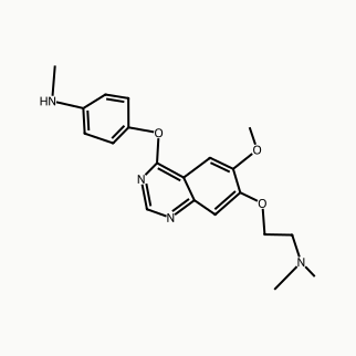 CNc1ccc(Oc2ncnc3cc(OCCN(C)C)c(OC)cc23)cc1